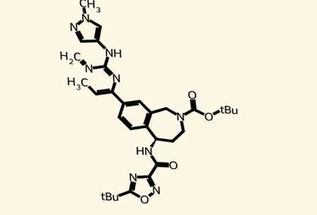 C=N/C(=N\C(=C/C)c1ccc2c(c1)CN(C(=O)OC(C)(C)C)CC[C@H]2NC(=O)c1noc(C(C)(C)C)n1)Nc1cnn(C)c1